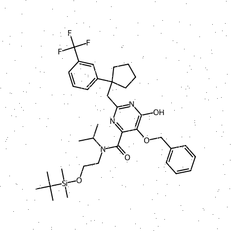 CC(C)N(CCO[Si](C)(C)C(C)(C)C)C(=O)c1nc(CC2(c3cccc(C(F)(F)F)c3)CCCC2)nc(O)c1OCc1ccccc1